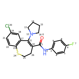 O=C(Nc1ccc(F)cc1)C1=C(N2CCCC2)c2cc(Cl)ccc2SCC1